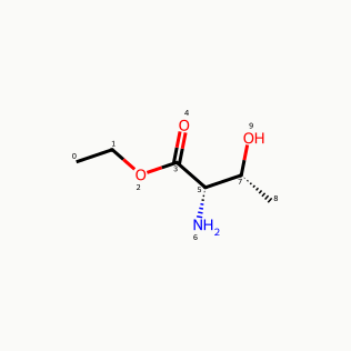 CCOC(=O)[C@@H](N)[C@@H](C)O